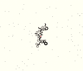 CCCN1CCCC[C@@H]1C(=O)N[C@H](C(=O)N(C)[C@H](C[C@@H](OC(C)=O)c1nc(C(=O)N[C@@H](Cc2cn(C)c3ccccc23)C[C@H](C)C(=O)OC)cs1)C(C)C)[C@@H](C)CC